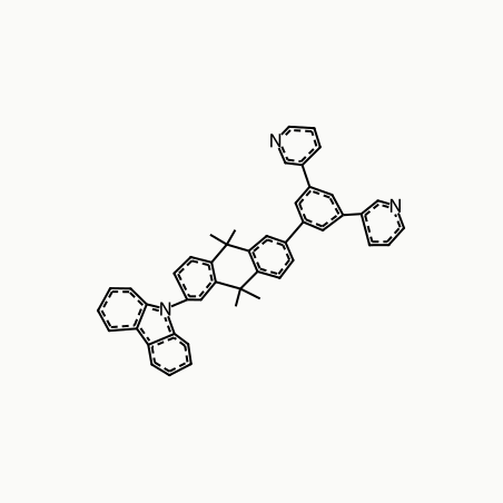 CC1(C)c2ccc(-n3c4ccccc4c4ccccc43)cc2C(C)(C)c2ccc(-c3cc(-c4cccnc4)cc(-c4cccnc4)c3)cc21